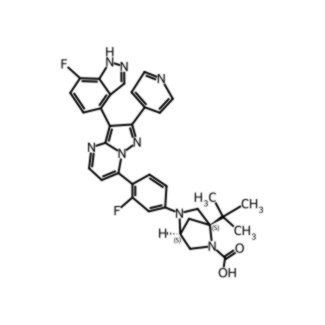 CC(C)(C)[C@]12C[C@@H](CN1C(=O)O)N(c1ccc(-c3ccnc4c(-c5ccc(F)c6[nH]ncc56)c(-c5ccncc5)nn34)c(F)c1)C2